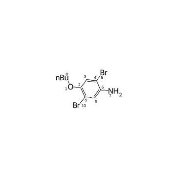 CCCCOc1cc(Br)c(N)cc1Br